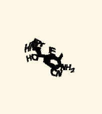 Cc1c(N)c(C#N)cc(C(O)CNC(C)C)c1F